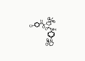 CS(=O)(=O)N1C[C@H](C(=O)Nc2ccc(Cl)cc2)[C@@H](C(=O)Nc2ccc(N3CCCS3(=O)=O)cc2)C1